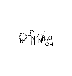 Cc1cc(NC(=O)c2cccnc2)nn1C(=O)O